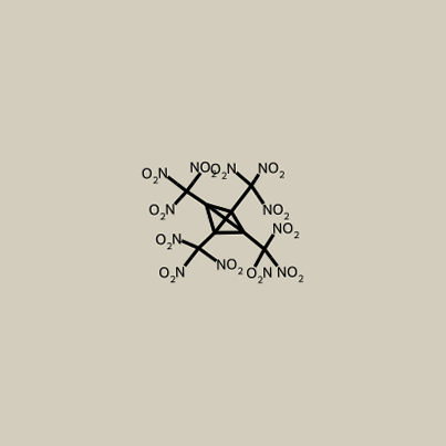 O=[N+]([O-])C([N+](=O)[O-])([N+](=O)[O-])C12C3(C([N+](=O)[O-])([N+](=O)[O-])[N+](=O)[O-])C1(C([N+](=O)[O-])([N+](=O)[O-])[N+](=O)[O-])C23C([N+](=O)[O-])([N+](=O)[O-])[N+](=O)[O-]